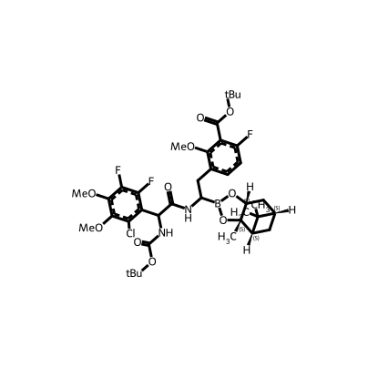 COc1c(F)c(F)c(C(NC(=O)OC(C)(C)C)C(=O)NC(Cc2ccc(F)c(C(=O)OC(C)(C)C)c2OC)B2O[C@@H]3C[C@@H]4C[C@@H](C4(C)C)[C@]3(C)O2)c(Cl)c1OC